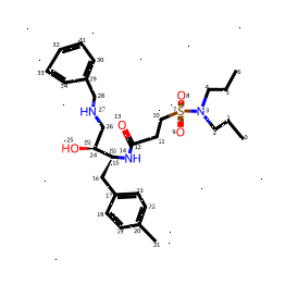 CCCN(CCC)S(=O)(=O)CCC(=O)N[C@@H](Cc1ccc(C)cc1)[C@@H](O)CNCc1ccccc1